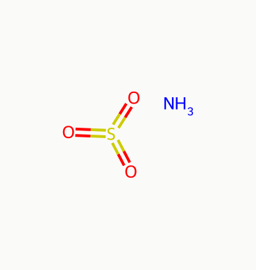 N.O=S(=O)=O